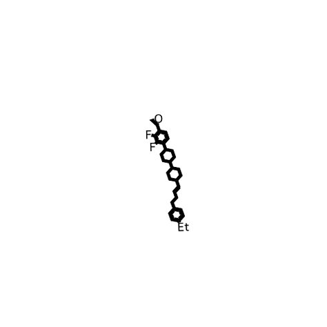 CCc1ccc(CC/C=C/C2CCC(C3CCC(c4ccc(C5CO5)c(F)c4F)CC3)CC2)cc1